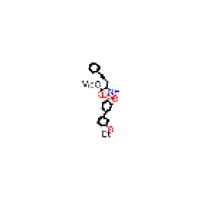 CCOc1cccc(-c2ccc(S(=O)(=O)NC(CC#Cc3ccccc3)C(=O)OC)cc2)c1